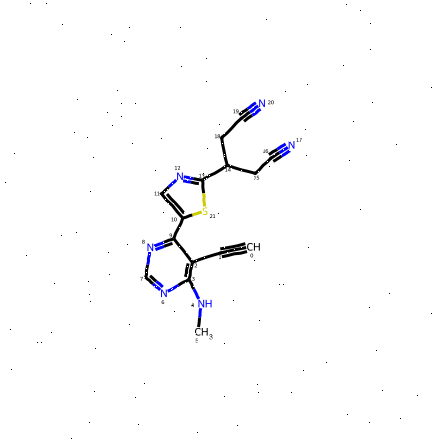 C#Cc1c(NC)ncnc1-c1cnc(C(CC#N)CC#N)s1